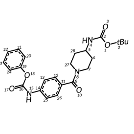 CC(C)(C)OC(=O)NC1CCN(C(=O)c2ccc(NC(=O)Oc3ccccc3)cc2)CC1